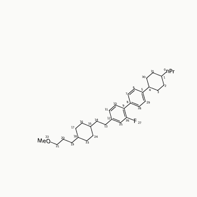 CCCC1CCC(c2ccc(-c3ccc(CCC4CCC(CCCOC)CC4)cc3F)cc2)CC1